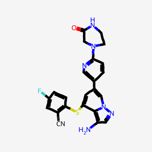 N#Cc1cc(F)ccc1Sc1cc(-c2ccc(N3CCNC(=O)C3)nc2)cn2ncc(N)c12